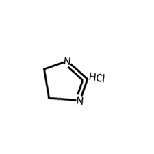 C1=NCCN=1.Cl